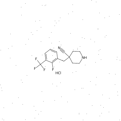 Cl.N#CC1(Cc2cccc(C(F)(F)F)c2F)CCNCC1